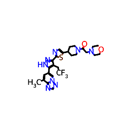 Cc1cc(-c2[nH]nc(-c3ncc(C4CCN(C(=O)CN5CCOCC5)CC4)s3)c2CC(F)(F)F)cn2ncnc12